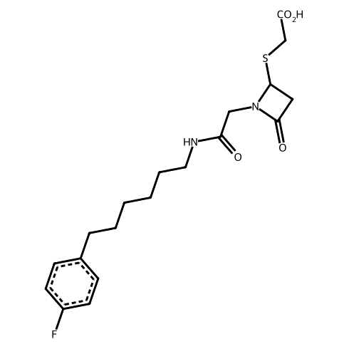 O=C(O)CSC1CC(=O)N1CC(=O)NCCCCCCc1ccc(F)cc1